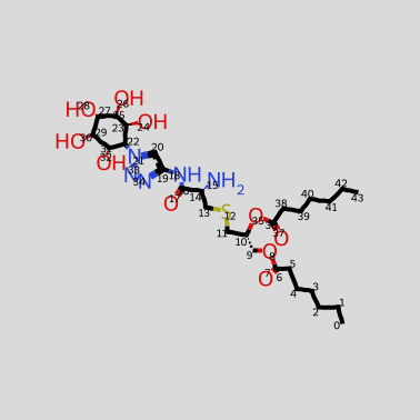 CCCCCCC(=O)OC[C@H](CSC[C@@H](N)C(=O)Nc1cn(C2[C@H](O)[C@H](O)[C@@H](O)[C@H](O)[C@H]2O)nn1)OC(=O)CCCCCC